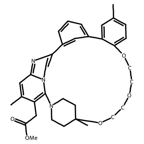 COC(=O)Cc1c(C)cc2nc3cn2c1N1CCC(C)(CC1)OCCOCCOc1ccc(C)cc1-c1cccc-3c1